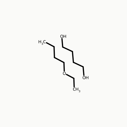 CCCCOCC.OCCCCO